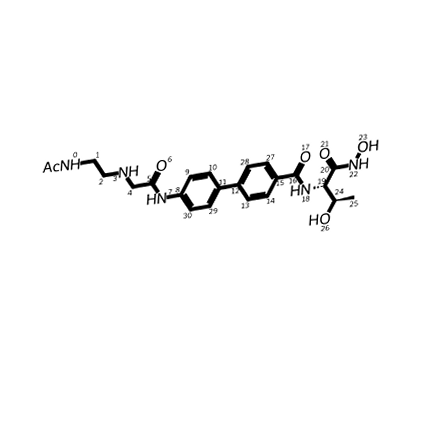 CC(=O)NCCNCC(=O)Nc1ccc(-c2ccc(C(=O)N[C@H](C(=O)NO)[C@@H](C)O)cc2)cc1